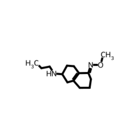 CCCNC1CCC2=C(CCCC2=NOC)C1